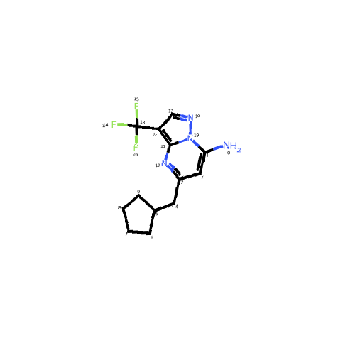 Nc1cc(CC2CCCC2)nc2c(C(F)(F)F)cnn12